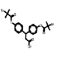 CC(C)(Br)C(=O)Oc1ccc(C(CC(=O)O)c2ccc(OC(=O)C(C)(C)Br)cc2)cc1